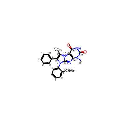 COc1ccccc1-n1c(-c2ccccc2)c(C#N)n2c3c(=O)[nH]c(=O)n(C)c3nc12